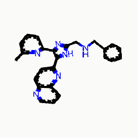 Cc1cccc(-c2nc(CNCc3ccccc3)[nH]c2-c2ccc3ncccc3n2)n1